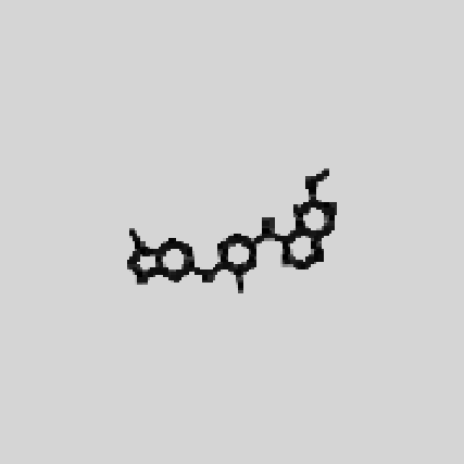 COc1ncc2ncnc(Nc3ccc(Oc4ccc5c(c4)ncn5C)c(C)c3)c2n1